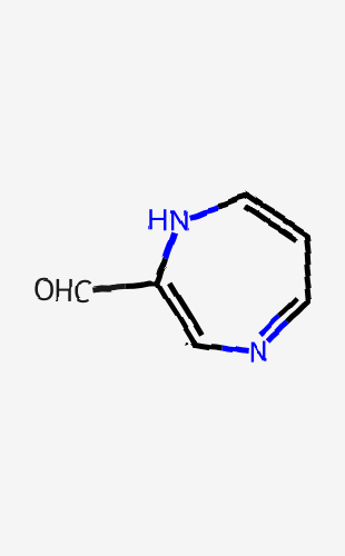 O=CC1=[C]N=CC=CN1